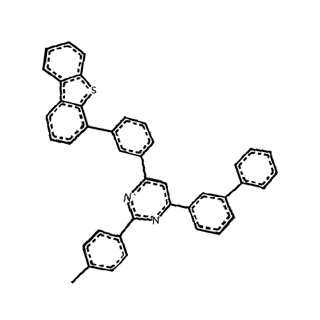 Cc1ccc(-c2nc(-c3cccc(-c4ccccc4)c3)cc(-c3cccc(-c4cccc5c4sc4ccccc45)c3)n2)cc1